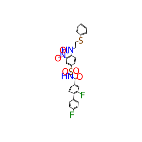 O=C(NS(=O)(=O)c1ccc(NCCSc2ccccc2)c([N+](=O)[O-])c1)c1ccc(-c2ccc(F)cc2)c(F)c1